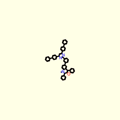 CN1c2ccc(-c3cccc(-c4nc(-c5ccc(-c6ccccc6)cc5)cc(-c5ccc(-c6ccccc6)cc5)n4)c3)cc2-c2c(oc3ccccc23)C1c1ccccc1